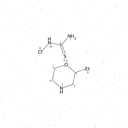 CCC1CNCCO1.NC(=S)NCl